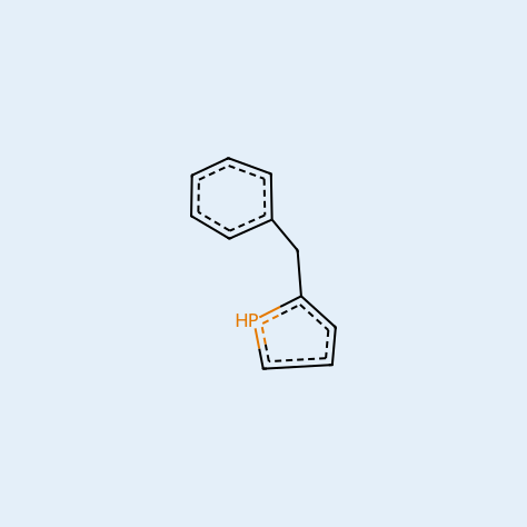 c1ccc(Cc2ccc[pH]2)cc1